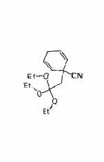 CCOC(CC1(C#N)C=CCC=C1)(OCC)OCC